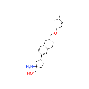 CC(C)/C=C\COC[C@@H]1CCc2cc([C@H]3CC[C@](N)(CO)C3)ccc2C1